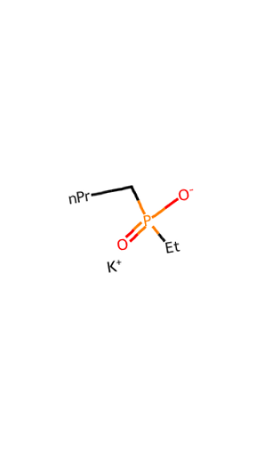 CCCCP(=O)([O-])CC.[K+]